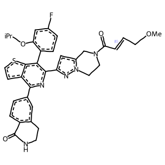 COC/C=C/C(=O)N1CCn2nc(-c3nc(-c4ccc5c(c4)CCNC5=O)c4ccsc4c3-c3ccc(F)cc3OC(C)C)cc2C1